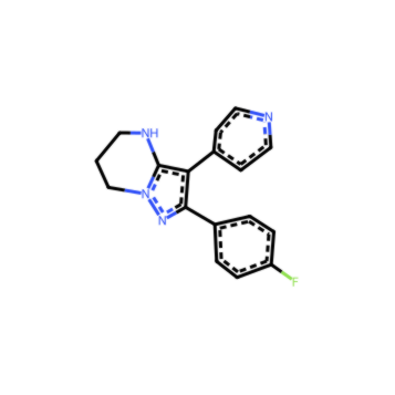 Fc1ccc(-c2nn3c(c2-c2ccncc2)NCCC3)cc1